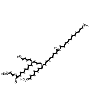 CCCCCCCCCCCCCCCCCCCCCCOC(=O)CCCCCCCN(CCCCCCCC(=O)O)CCCN(CCCCO)CCCCCCCC(=C=O)OCCCCCCCCCCCC